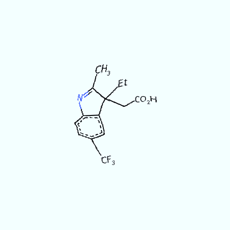 CCC1(CC(=O)O)C(C)=Nc2ccc(C(F)(F)F)cc21